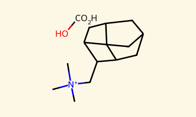 C[N+](C)(C)CC1C2CC3CC(C2)CC1C3.O=C(O)O